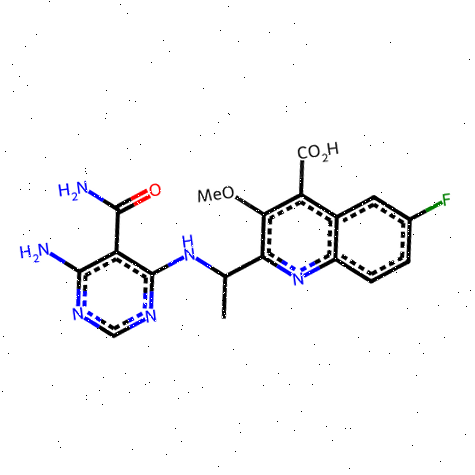 COc1c(C(C)Nc2ncnc(N)c2C(N)=O)nc2ccc(F)cc2c1C(=O)O